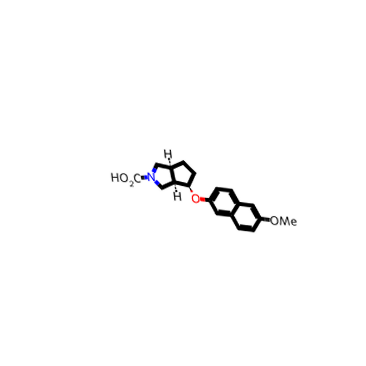 COc1ccc2cc(O[C@H]3CC[C@@H]4CN(C(=O)O)C[C@@H]43)ccc2c1